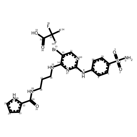 NS(=O)(=O)c1ccc(Nc2ncc(Br)c(NCCCNC(=O)c3ccc[nH]3)n2)cc1.O=C(O)C(F)(F)F